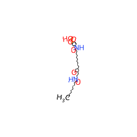 CCCCCCCCCC(=O)NCCCC1CC(CCCCCCCCCC(=O)Nc2ccc(S(=O)(=O)O)cc2)CC1=O